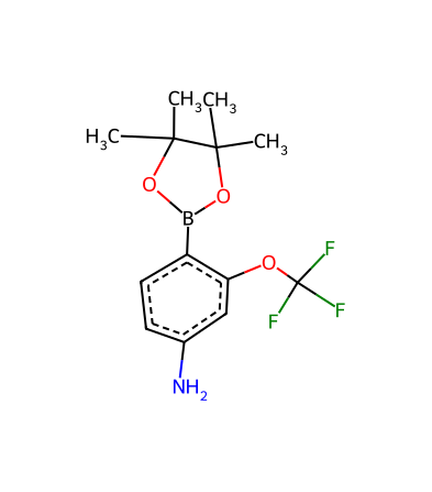 CC1(C)OB(c2ccc(N)cc2OC(F)(F)F)OC1(C)C